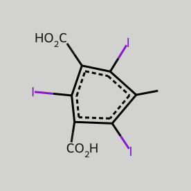 Cc1c(I)c(C(=O)O)c(I)c(C(=O)O)c1I